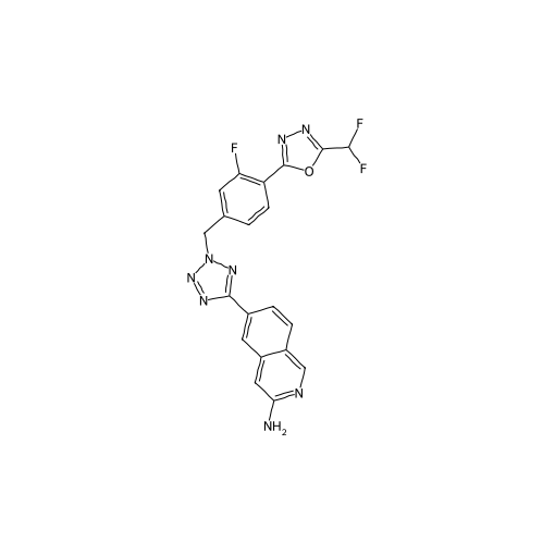 Nc1cc2cc(-c3nnn(Cc4ccc(-c5nnc(C(F)F)o5)c(F)c4)n3)ccc2cn1